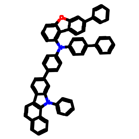 c1ccc(-c2ccc(N(c3ccc(-c4ccc5c6ccc7ccccc7c6n(-c6ccccc6)c5c4)cc3)c3cccc4oc5cc(-c6ccccc6)ccc5c34)cc2)cc1